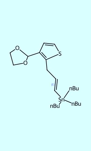 CCC[CH2][Sn](/[CH]=C/Cc1sccc1C1OCCO1)([CH2]CCC)[CH2]CCC